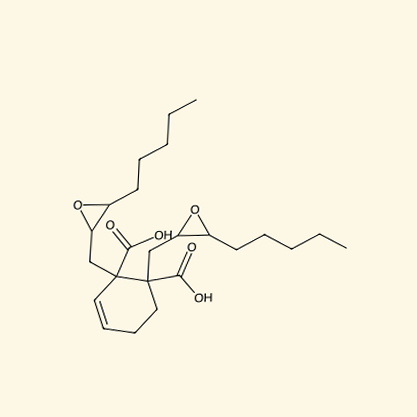 CCCCCC1OC1CC1(C(=O)O)C=CCCC1(CC1OC1CCCCC)C(=O)O